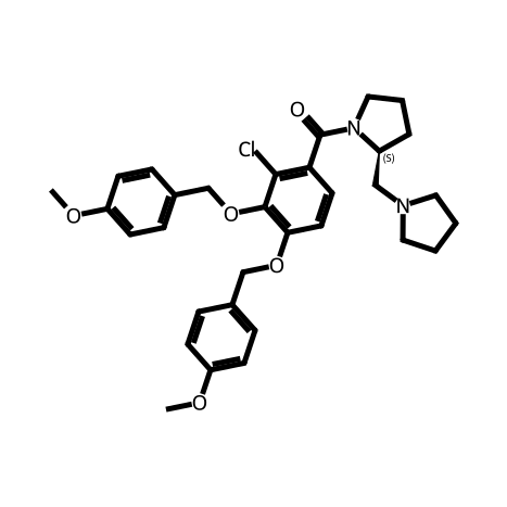 COc1ccc(COc2ccc(C(=O)N3CCC[C@H]3CN3CCCC3)c(Cl)c2OCc2ccc(OC)cc2)cc1